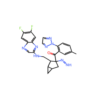 Cc1ccc(-n2nccn2)c(C(=O)C2(N=N)CC3CC3C2CNc2cnc3cc(F)c(F)cc3n2)c1